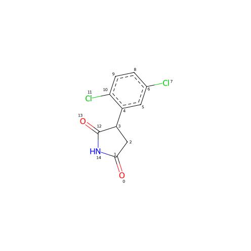 O=C1CC(c2cc(Cl)ccc2Cl)C(=O)N1